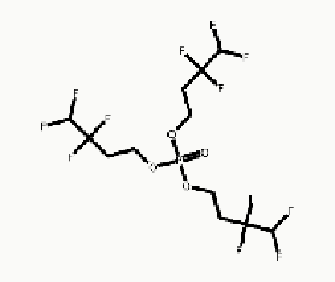 O=P(OCCC(F)(F)C(F)F)(OCCC(F)(F)C(F)F)OCCC(F)(F)C(F)F